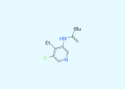 C=C(Nc1cncc(F)c1CC)C(C)(C)C